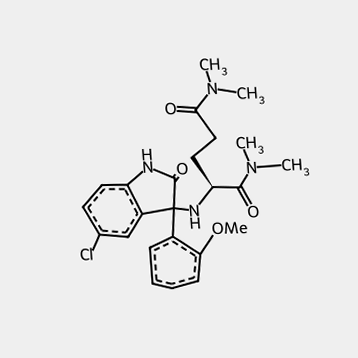 COc1ccccc1C1(N[C@@H](CCC(=O)N(C)C)C(=O)N(C)C)C(=O)Nc2ccc(Cl)cc21